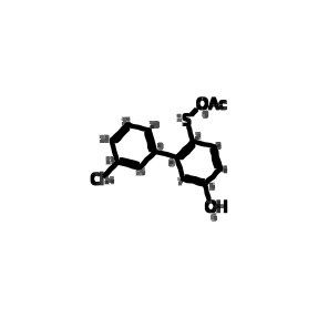 CC(=O)OSc1ccc(O)cc1-c1cccc(Cl)c1